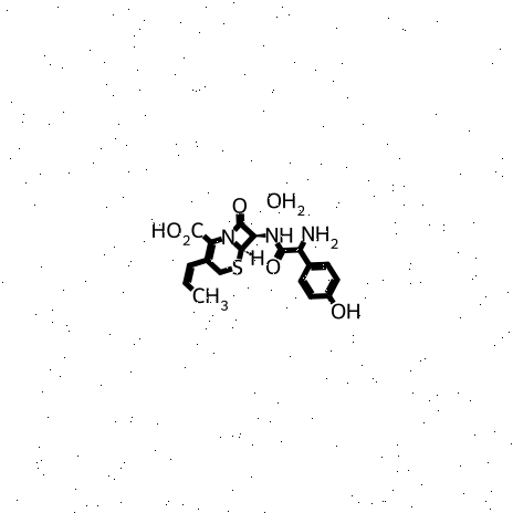 C/C=C\C1=C(C(=O)O)N2C(=O)[C@@H](NC(=O)C(N)c3ccc(O)cc3)[C@H]2SC1.O